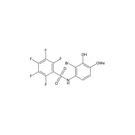 COc1ccc(NS(=O)(=O)c2c(F)c(F)c(F)c(F)c2F)c(Br)c1O